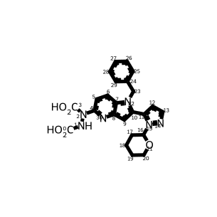 O=C(O)NN(C(=O)O)c1ccc2c(cc(-c3ccnn3C3CCCCO3)n2Cc2ccccc2)n1